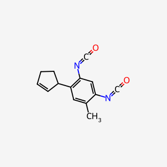 Cc1cc(C2C=CCC2)c(N=C=O)cc1N=C=O